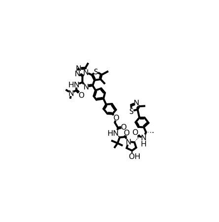 Cc1ncsc1-c1ccc([C@H](C)NC(=O)[C@@H]2C[C@@H](O)CN2C(=O)[C@@H](NC(=O)COc2ccc(-c3ccc(C4=NC(NC(=O)N(C)C)c5nnc(C)n5-c5sc(C)c(C)c54)cc3)cc2)C(C)(C)C)cc1